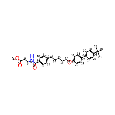 COC(=O)CCNC(=O)c1ccc(CCCCCOc2ccc(-c3ccc(C(C)(C)C)cc3)cc2)cc1